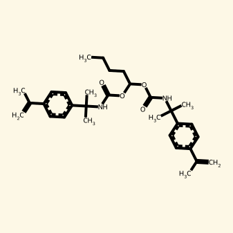 C=C(C)c1ccc(C(C)(C)NC(=O)OC(CCCC)OC(=O)NC(C)(C)c2ccc(C(=C)C)cc2)cc1